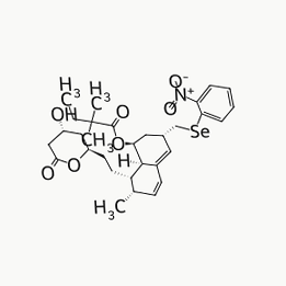 CCC(C)(C)C(=O)O[C@H]1C[C@H](C[Se]c2ccccc2[N+](=O)[O-])C=C2C=C[C@H](C)[C@H](CC[C@@H]3C[C@@H](O)CC(=O)O3)[C@H]21